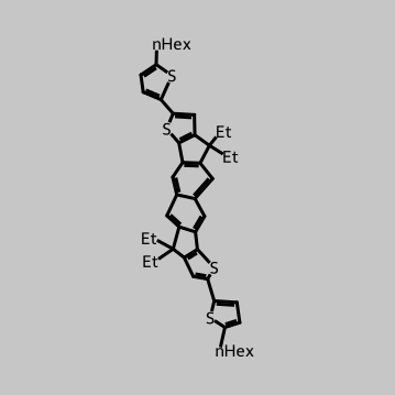 CCCCCCc1ccc(-c2cc3c(s2)-c2cc4cc5c(cc4cc2C3(CC)CC)-c2sc(-c3ccc(CCCCCC)s3)cc2C5(CC)CC)s1